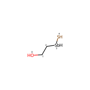 OC[CH2][SbH][SH]